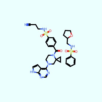 N#CCCNS(=O)(=O)c1ccc(C(=O)N2CCN(c3ncnc4[nH]ccc34)CC23CC3)cc1.O=S(=O)(NCC1CCCO1)c1ccccc1